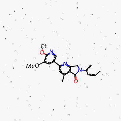 C=C(/C=C\C)N1Cc2nc(-c3cnc(OCC)c(OC)c3)cc(C)c2C1=O